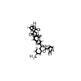 CCn1nccc1C(=O)N[C@H](c1cn2nc(CC3(C(=O)OC)C(=O)NC4CC3C4)ccc2n1)[C@H]1CC[C@H](C)CC1